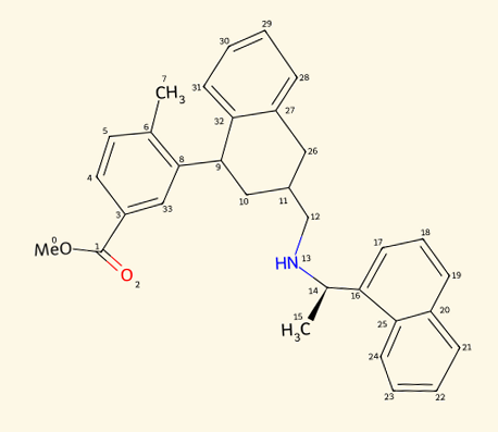 COC(=O)c1ccc(C)c(C2CC(CN[C@H](C)c3cccc4ccccc34)Cc3ccccc32)c1